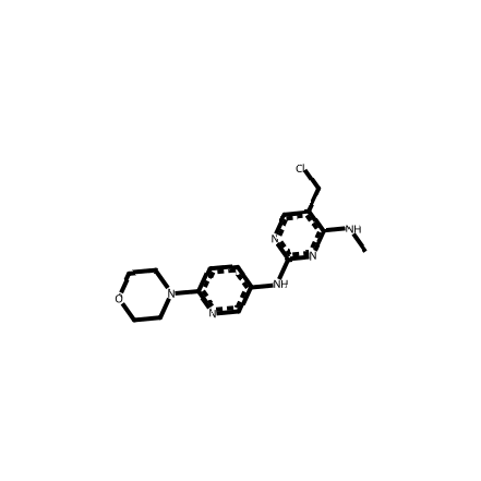 CNc1nc(Nc2ccc(N3CCOCC3)nc2)ncc1CCl